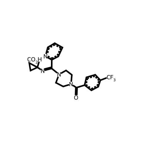 O=C(c1ccc(C(F)(F)F)cc1)N1CCN(C(=NC2(C(=O)O)CC2)c2ccccn2)CC1